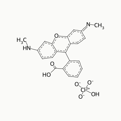 CN=c1ccc2c(-c3ccccc3C(=O)O)c3ccc(NC)cc3oc-2c1.[O-][Cl+3]([O-])([O-])O